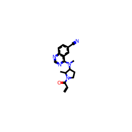 C=CC(=O)N1CCC(N(C)c2ncnc3ccc(C#N)cc23)C1C